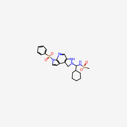 CS(=O)(=O)NC(C1CCCCC1)N1Cc2c(cnc3c2ccn3S(=O)(=O)c2ccccc2)N1